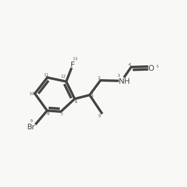 CC(CNC=O)c1cc(Br)ccc1F